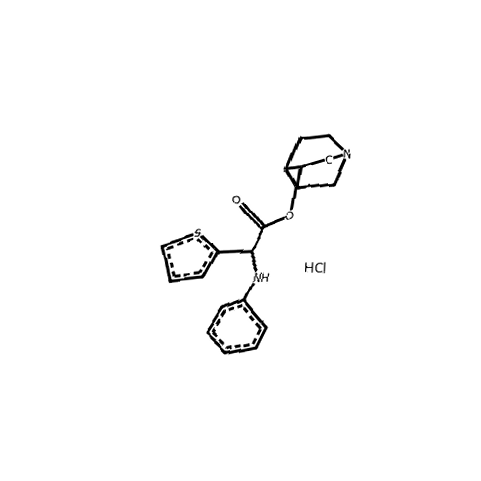 Cl.O=C(OC1CN2CCC1CC2)C(Nc1ccccc1)c1cccs1